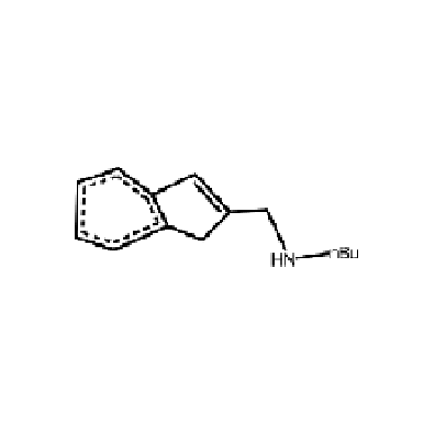 CCCCNCC1=Cc2ccccc2C1